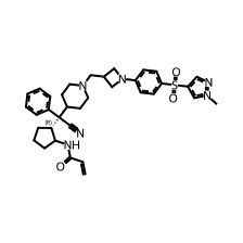 C=CC(=O)NC1CCC[C@@H]1C(C#N)(c1ccccc1)C1CCN(CC2CN(c3ccc(S(=O)(=O)c4cnn(C)c4)cc3)C2)CC1